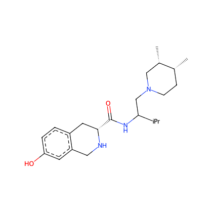 CC(C)C(CN1CC[C@@H](C)[C@@H](C)C1)NC(=O)[C@H]1Cc2ccc(O)cc2CN1